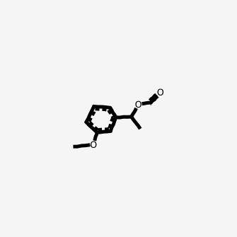 COc1cccc(C(C)O[C]=O)c1